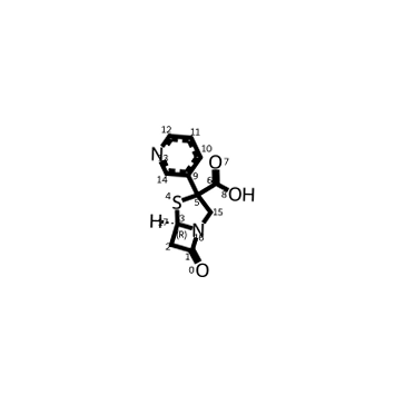 O=C1C[C@H]2SC(C(=O)O)(c3cccnc3)CN12